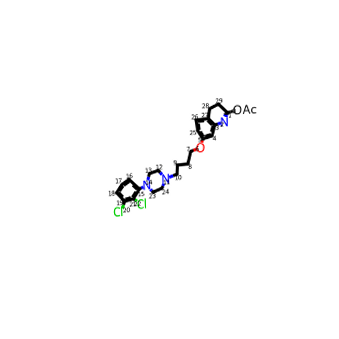 CC(=O)OC1=Nc2cc(OCCCCN3CCN(c4cccc(Cl)c4Cl)CC3)ccc2CC1